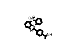 CC(=N)c1ccc(-c2nc3cccc4c3n2-c2ccccc2S4(=O)=O)cc1